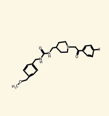 COCc1ccc(CNC(=O)NCC2CCN(CC(=O)c3ccc(F)cc3)CC2)cc1